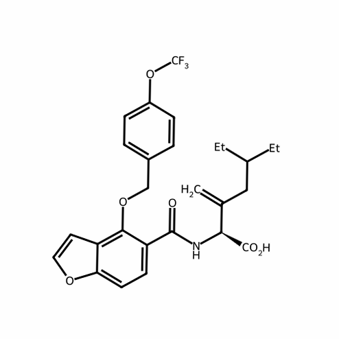 C=C(CC(CC)CC)[C@H](NC(=O)c1ccc2occc2c1OCc1ccc(OC(F)(F)F)cc1)C(=O)O